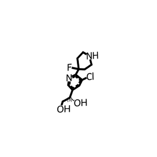 OC[C@@H](O)c1cnc(C2(F)CCNCC2)c(Cl)c1